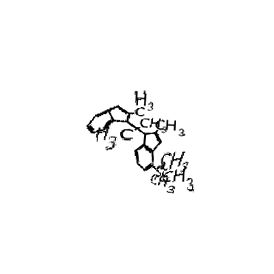 CC1=Cc2ccccc2C1C(C)(C)C1C(C)=Cc2c1cccc2[Si](C)(C)C